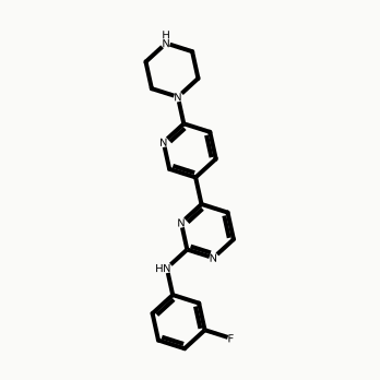 Fc1cccc(Nc2nccc(-c3ccc(N4CCNCC4)nc3)n2)c1